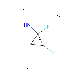 [NH]C1(F)CC1F